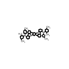 CC1=CC=C(N(c2cc(C)ccc2C)c2cccc3c2c2cccc4c5cc6c(cc5n3c42)c2cccc3c4c(N(c5ccc(C)cc5)c5cc(C)ccc5C)cccc4n6c23)C1